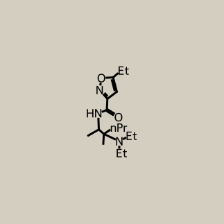 CCCC(C)(C(C)NC(=O)c1cc(CC)on1)N(CC)CC